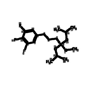 CO[Si](CCCc1cc(F)c(F)c(F)c1)(OC(C)C)OC(C)C